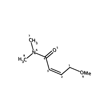 COC/C=C\C(=O)N(C)C